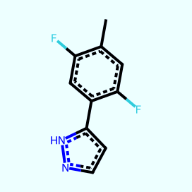 Cc1cc(F)c(-c2ccn[nH]2)cc1F